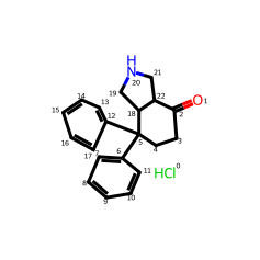 Cl.O=C1CCC(c2ccccc2)(c2ccccc2)C2CNCC12